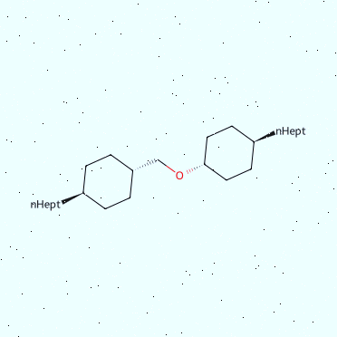 CCCCCCC[C@H]1CC[C@H](CO[C@H]2CC[C@H](CCCCCCC)CC2)CC1